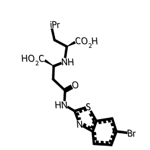 CC(C)C[C@H](N[C@@H](CC(=O)Nc1nc2ccc(Br)cc2s1)C(=O)O)C(=O)O